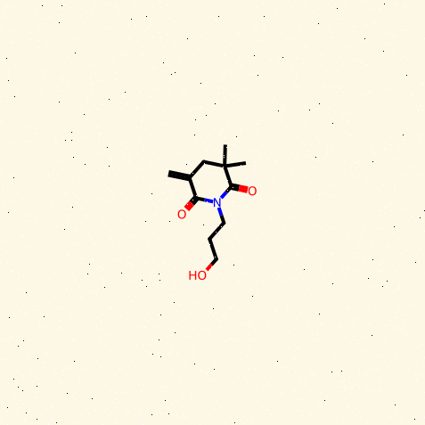 C=C1CC(C)(C)C(=O)N(CCCO)C1=O